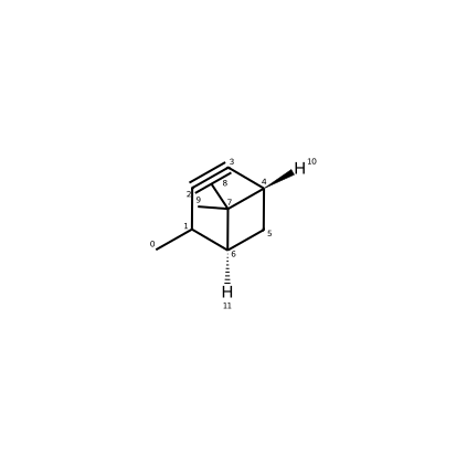 CC1C#C[C@@H]2C[C@@H]1C2(C)C